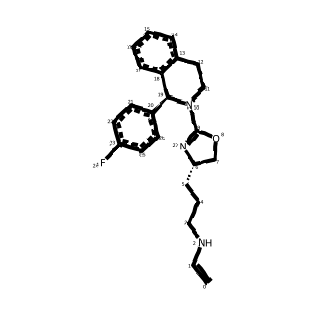 C=CNCCC[C@H]1COC(N2CCc3ccccc3[C@@H]2c2ccc(F)cc2)=N1